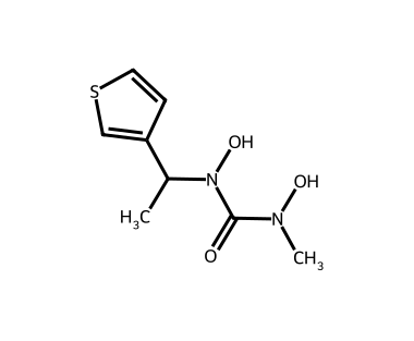 CC(c1ccsc1)N(O)C(=O)N(C)O